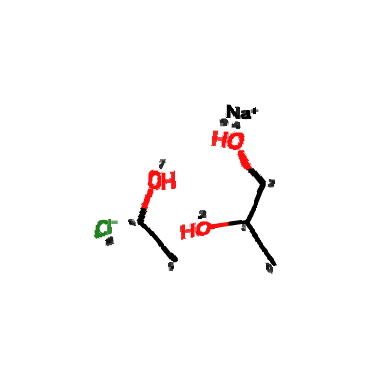 CC(O)CO.CCO.[Cl-].[Na+]